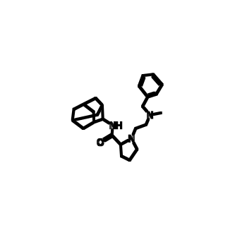 CN(CCN1CCCC1C(=O)NC1C2CC3CC(C2)CC1C3)Cc1ccccc1